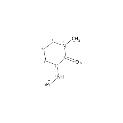 CC(C)NC1CCCN(C)C1=O